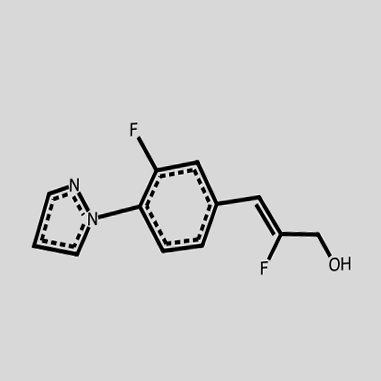 OCC(F)=Cc1ccc(-n2cccn2)c(F)c1